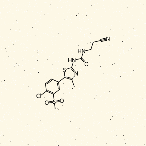 Cc1nc(NC(=O)NCCC#N)sc1-c1ccc(Cl)c(S(C)(=O)=O)c1